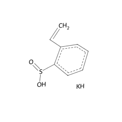 C=Cc1ccccc1S(=O)O.[KH]